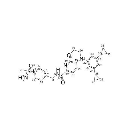 C[SH](N)(=O)c1ccc(CNC(=O)c2ccc3c(n2)OCCN3c2cc(C3CC3)cc(C3CC3)c2)cc1